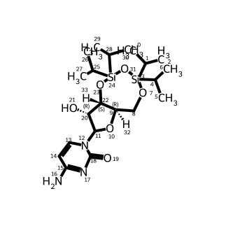 CC(C)[Si]1(C(C)C)OC[C@H]2OC(n3ccc(N)nc3=O)[C@H](O)[C@@H]2O[Si](C(C)C)(C(C)C)O1